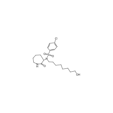 O=C1NCCCCC1N(CCCCCCCCO)S(=O)(=O)c1ccc(Cl)cc1